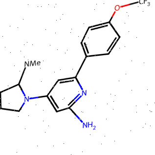 CNC1CCCN1c1cc(N)nc(-c2ccc(OC(F)(F)F)cc2)c1